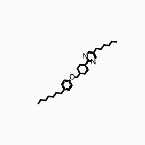 CCCCCCCc1ccc(OCC2CCC(c3ncc(CCCCCC)cn3)CC2)cc1